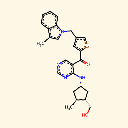 Cc1cn(Cc2csc(C(=O)c3cncnc3N[C@@H]3C[C@H](CO)[C@@H](C)C3)c2)c2ccccc12